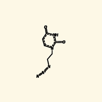 [N-]=[N+]=NCCn1ccc(=O)[nH]c1=O